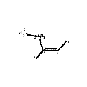 C/C=C(/C)NN